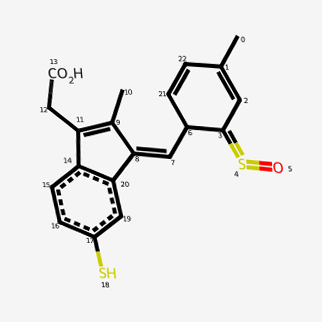 CC1=CC(=S=O)C(C=C2C(C)=C(CC(=O)O)c3ccc(S)cc32)C=C1